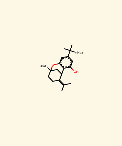 CCCCCCC(C)(C)c1cc(O)c2c(c1)OC1(OCC(C)C)CCC(=C(C)C)C2C1